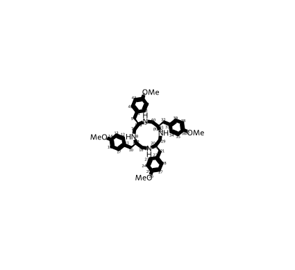 COc1ccc(C[C@@H]2CN[C@H](Cc3ccc(OC)cc3)CN[C@H](Cc3ccc(OC)cc3)CN[C@H](Cc3ccc(OC)cc3)CN2)cc1